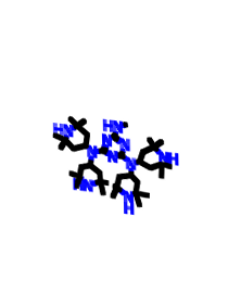 CNc1nc(N(C2CC(C)(C)NC(C)(C)C2)C2CC(C)(C)NC(C)(C)C2)nc(N(C2CC(C)(C)NC(C)(C)C2)C2CC(C)(C)NC(C)(C)C2)n1